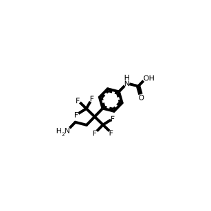 NCCC(c1ccc(NC(=O)O)cc1)(C(F)(F)F)C(F)(F)F